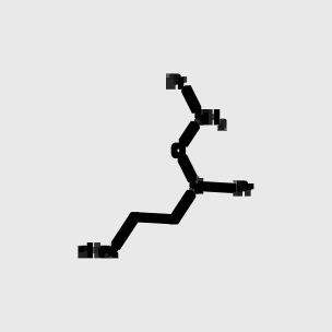 CCCCCCCC[Si](O[SiH2]C(C)C)C(C)C